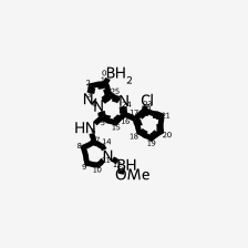 Bc1cnn2c(NC3CCCN(BOC)C3)cc(-c3ccccc3Cl)nc12